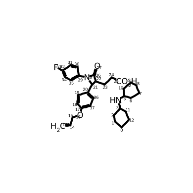 C1CCC(NC2CCCCC2)CC1.C=CCOc1ccc(C2C(CCC(=O)O)C(=O)N2c2ccc(F)cc2)cc1